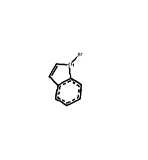 Br[SH]1C=Cc2ccccc21